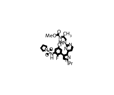 COC(=O)N[C@@H](C)CNc1nccc(-c2nn(C(C)C)cc2-c2cc(Cl)cc(NS(=O)(=O)N3CCCC3)c2F)n1